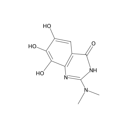 CN(C)c1nc2c(O)c(O)c(O)cc2c(=O)[nH]1